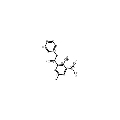 Cc1cc(C(=O)Cc2ccccc2)c(O)c([N+](=O)[O-])c1